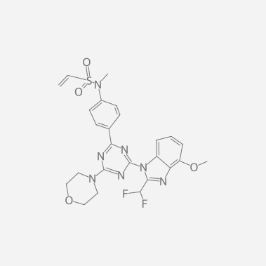 C=CS(=O)(=O)N(C)c1ccc(-c2nc(N3CCOCC3)nc(-n3c(C(F)F)nc4c(OC)cccc43)n2)cc1